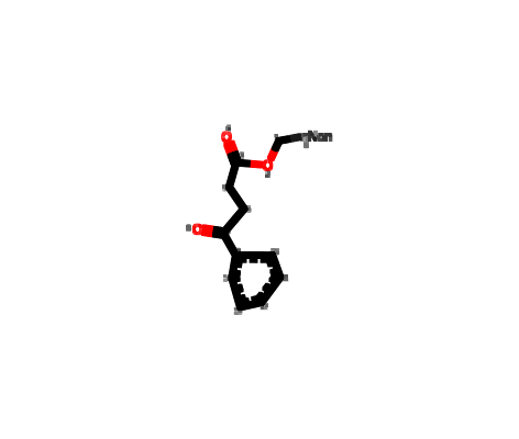 CCCCCCCCCCOC(=O)CCC(=O)c1ccccc1